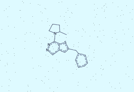 CC1CCCN1c1nncc2cc(Cc3ccccc3)sc12